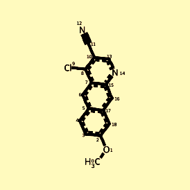 COc1ccc2cc3c(Cl)c(C#N)cnc3cc2c1